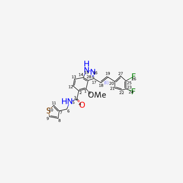 COc1c(C(=O)NCc2ccsc2)ccc2[nH]nc(/C=C/c3ccc(F)c(F)c3)c12